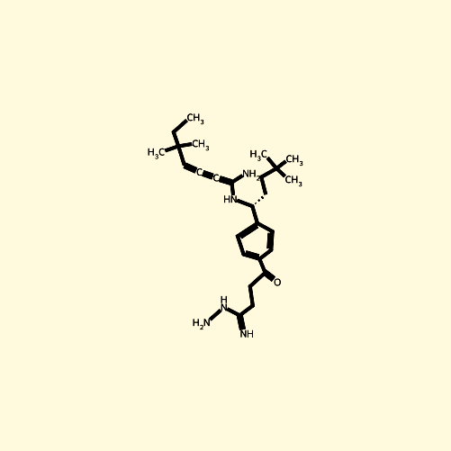 CCC(C)(C)C=C=C=C(N)N[C@H](CCC(C)(C)C)c1ccc(C(=O)CCC(=N)NN)cc1